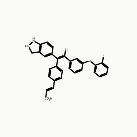 CC/C(=C(/c1ccc(/C=C/C(=O)O)cc1)c1ccc2c(c1)CNN2)c1cccc(Oc2ccccc2F)c1